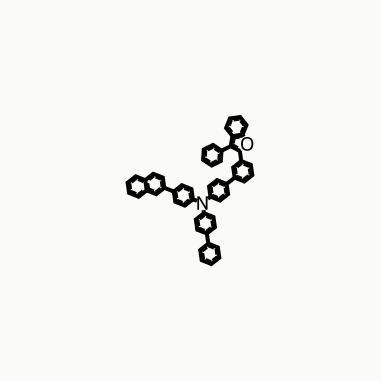 c1ccc(-c2ccc(N(c3ccc(-c4cccc(-c5oc6ccccc6c5-c5ccccc5)c4)cc3)c3ccc(-c4ccc5ccccc5c4)cc3)cc2)cc1